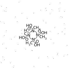 C[C@@H](C(=O)O)N1CCN([C@@H](C)C(=O)O)CCN([C@@H](C)C(=O)O)CCN([C@@H](C)C(=O)O)CC1